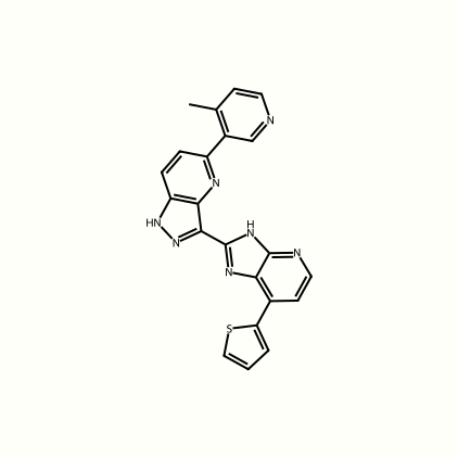 Cc1ccncc1-c1ccc2[nH]nc(-c3nc4c(-c5cccs5)ccnc4[nH]3)c2n1